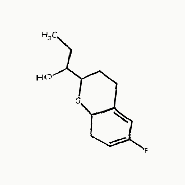 CCC(O)C1CCC2=CC(F)=CCC2O1